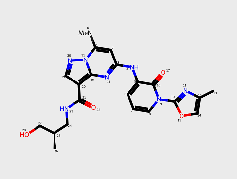 CNc1cc(Nc2cccn(-c3nc(C)co3)c2=O)nc2c(C(=O)NC[C@@H](C)CO)cnn12